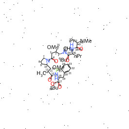 CC[C@H](C)[C@@H]([C@@H](CC(=O)N1CCCC1[C@H](OC)[C@@H](C)C(=O)NC(Cc1ccccc1F)C(=O)OC(C)(C)C)OC)N(C)C(=O)C(NC(=O)C(NC)C(C)C)C(C)C